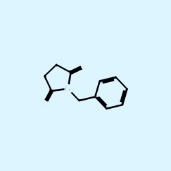 O=C1CCC(=O)N1Cc1cc[c]cc1